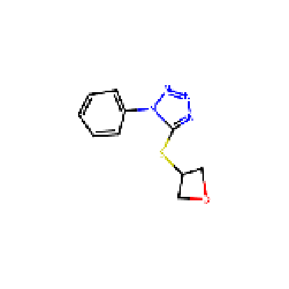 c1ccc(-n2nnnc2SC2COC2)cc1